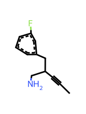 CC#CC(CN)Cc1cccc(F)c1